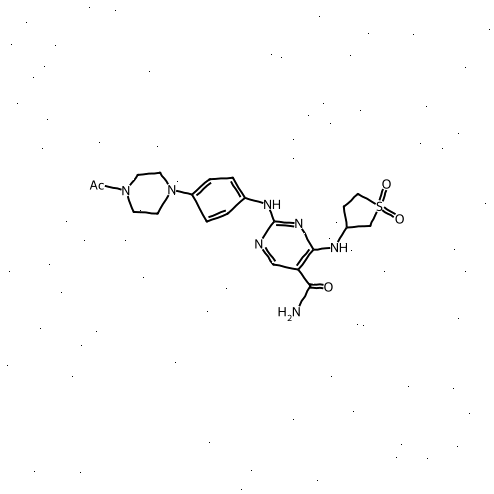 CC(=O)N1CCN(c2ccc(Nc3ncc(C(N)=O)c(NC4CCS(=O)(=O)C4)n3)cc2)CC1